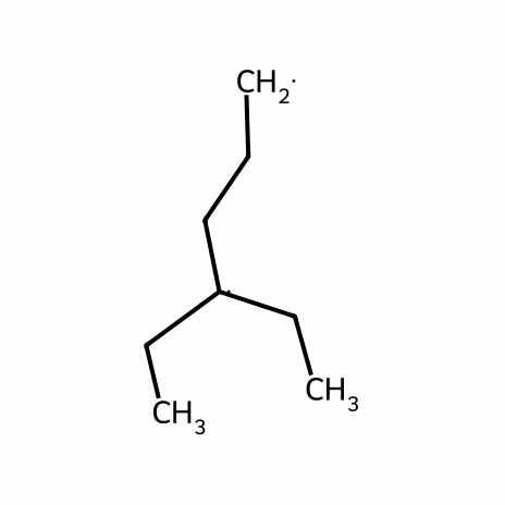 [CH2]CC[C](CC)CC